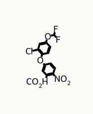 O=C(O)c1cc(Oc2ccc(OC(F)F)cc2Cl)ccc1[N+](=O)[O-]